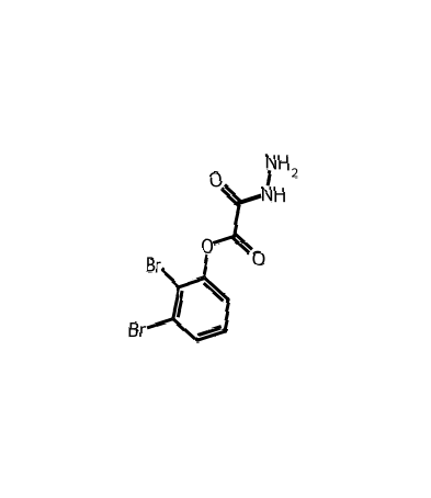 NNC(=O)C(=O)Oc1cccc(Br)c1Br